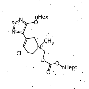 CCCCCCCOC(=O)OC[N+]1(C)CCC=C(c2nsnc2OCCCCCC)C1.[Cl-]